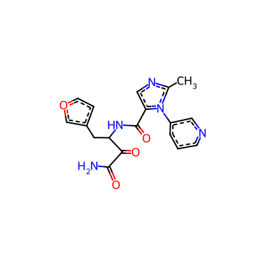 Cc1ncc(C(=O)NC(Cc2ccoc2)C(=O)C(N)=O)n1-c1cccnc1